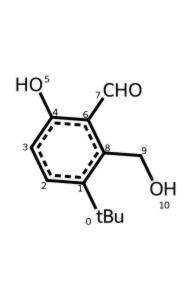 CC(C)(C)c1ccc(O)c(C=O)c1CO